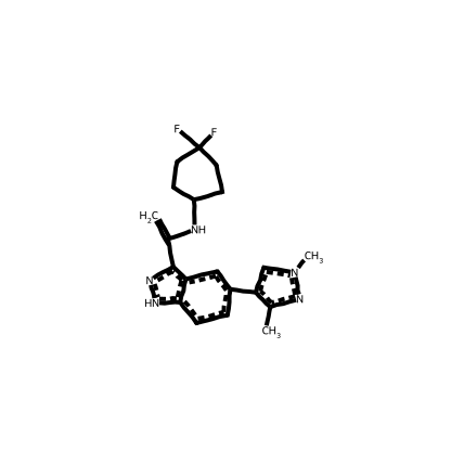 C=C(NC1CCC(F)(F)CC1)c1n[nH]c2ccc(-c3cn(C)nc3C)cc12